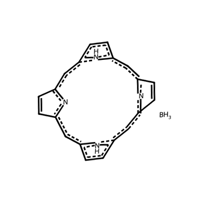 B.C1=Cc2cc3ccc(cc4nc(cc5ccc(cc1n2)[nH]5)C=C4)[nH]3